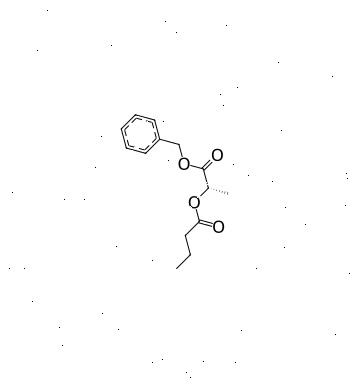 CCCC(=O)O[C@@H](C)C(=O)OCc1ccccc1